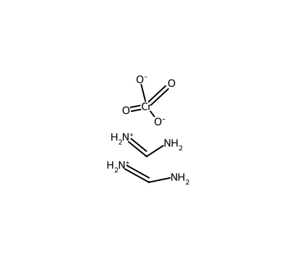 NC=[NH2+].NC=[NH2+].[O]=[Cr](=[O])([O-])[O-]